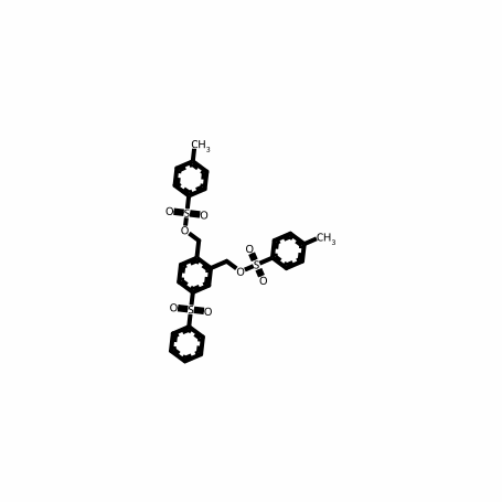 Cc1ccc(S(=O)(=O)OCc2ccc(S(=O)(=O)c3ccccc3)cc2COS(=O)(=O)c2ccc(C)cc2)cc1